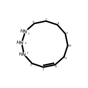 C1=CCNNNCCCCCC1